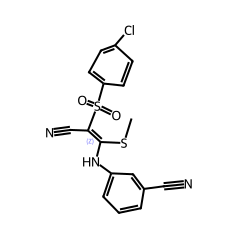 CS/C(Nc1cccc(C#N)c1)=C(/C#N)S(=O)(=O)c1ccc(Cl)cc1